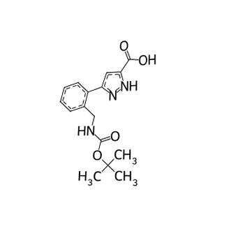 CC(C)(C)OC(=O)NCc1ccccc1-c1cc(C(=O)O)[nH]n1